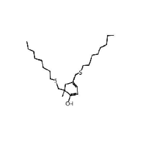 CCCCCCCCSCC1=CC=C(O)C(C)(CSCCCCCCCC)C1